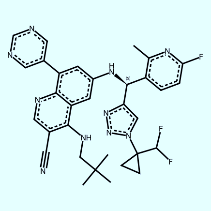 Cc1nc(F)ccc1[C@H](Nc1cc(-c2cncnc2)c2ncc(C#N)c(NCC(C)(C)C)c2c1)c1cn(C2(C(F)F)CC2)nn1